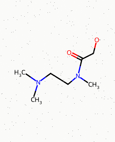 CN(C)CCN(C)C(=O)C[O]